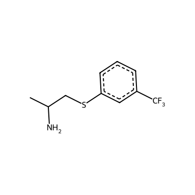 CC(N)CSc1cccc(C(F)(F)F)c1